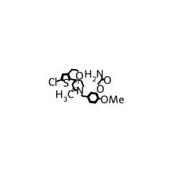 COc1ccc(CN2CC[C@]3(C[C@@H]2C)OCCc2cc(Cl)sc23)cc1OCC(N)=O